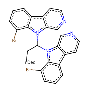 CCCCCCCCCCCC(n1c2cnccc2c2cccc(Br)c21)n1c2cnccc2c2cccc(Br)c21